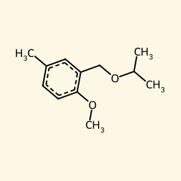 COc1ccc(C)cc1COC(C)C